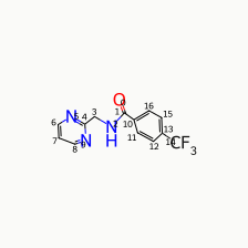 O=C(NCc1ncccn1)c1ccc(C(F)(F)F)cc1